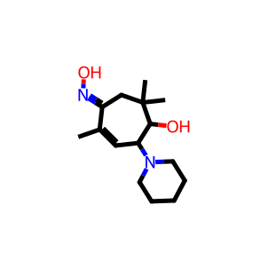 CC1=CC(N2CCCCC2)C(O)C(C)(C)CC1=NO